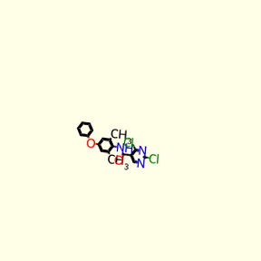 Cc1cc(Oc2ccccc2)cc(C)c1NC(=O)c1cnc(Cl)nc1Cl